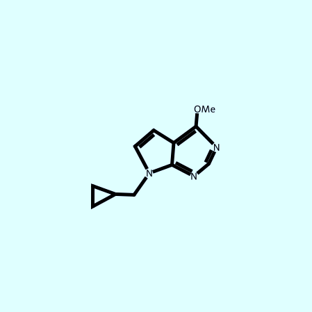 COc1ncnc2c1ccn2CC1CC1